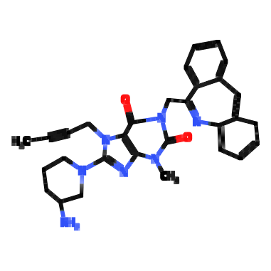 CC#CCn1c(N2CCCC(N)C2)nc2c1c(=O)n(CC1=NC3=CC=CCC3=Cc3ccccc31)c(=O)n2C